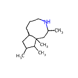 CC1CC2(C)C(CCCN1)CC(C)C2C